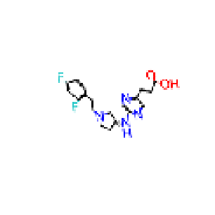 O=C(O)C=Cc1cnc(N[C@@H]2CCN(CCc3ccc(F)cc3F)C2)cn1